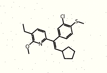 CCc1ccc(C(=CC2CCCC2)c2ccc(SC)c(Cl)c2)nc1OC